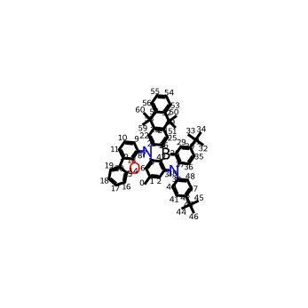 Cc1cc2c3c(c1)N(c1cccc4c1oc1ccccc14)c1cc4c(cc1B3c1cc(C(C)(C)C)ccc1N2c1ccc(C(C)(C)C)cc1)C(C)(C)c1ccccc1C4(C)C